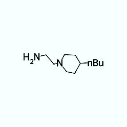 CCCCC1CCN(CCN)CC1